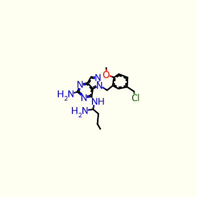 CCCC(N)Nc1nc(N)nc2cnn(Cc3cc(CCl)ccc3OC)c12